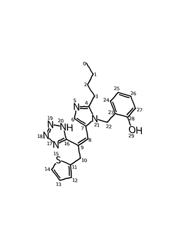 CCCCc1ncc(C=C(Cc2cccs2)c2nnn[nH]2)n1Cc1ccccc1O